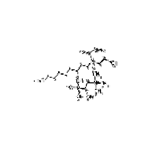 CCCCCCCCCCCCCCCCCCN(CCO)C(=S)NC.C[N+](C)(C)CC(O)P(=O)(O)O